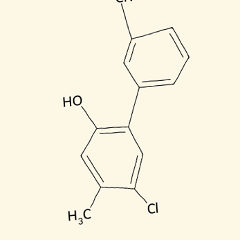 Cc1cc(O)c(-c2cccc(C#N)c2)cc1Cl